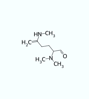 C=C(CCC(C=O)N(C)C)NC